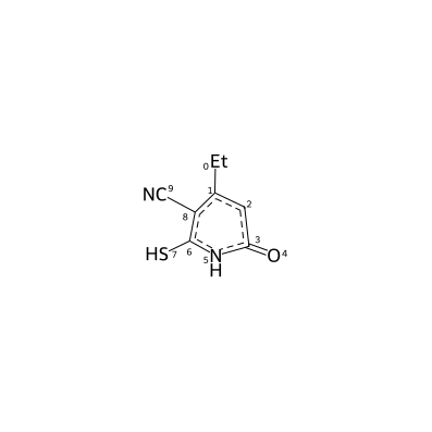 CCc1cc(=O)[nH]c(S)c1C#N